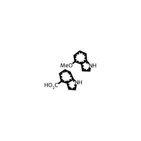 COc1cccc2[nH]ccc12.O=C(O)c1cccc2[nH]ccc12